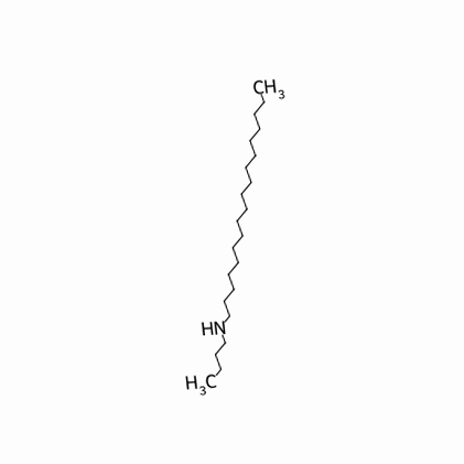 CCCCCCCCCCCCCCCCCCNCCCC